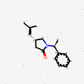 CC(C)=C[C@H]1CC(=O)N([C@@H](C)c2ccccc2)C1